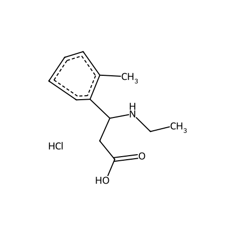 CCNC(CC(=O)O)c1ccccc1C.Cl